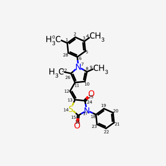 Cc1cc(C)cc(-n2c(C)cc(C=C3SC(=O)N(c4ccccc4)C3=O)c2C)c1